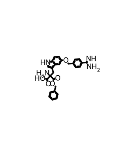 N=C(N)c1ccc(COc2ccc3[nH]cc(CC(N)(C(=O)O)C(=O)OCc4ccccc4)c3c2)cc1